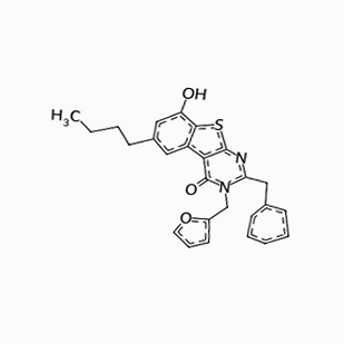 CCCCc1cc(O)c2sc3nc(Cc4ccccc4)n(Cc4ccco4)c(=O)c3c2c1